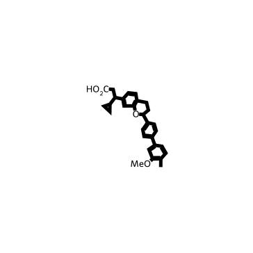 COc1cc(-c2ccc(C3CCc4ccc(C(CC(=O)O)C5CC5)cc4O3)cc2)ccc1C